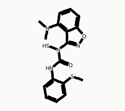 CSc1ccccc1NC(=O)N(S)c1noc2cccc(N(C)C)c12